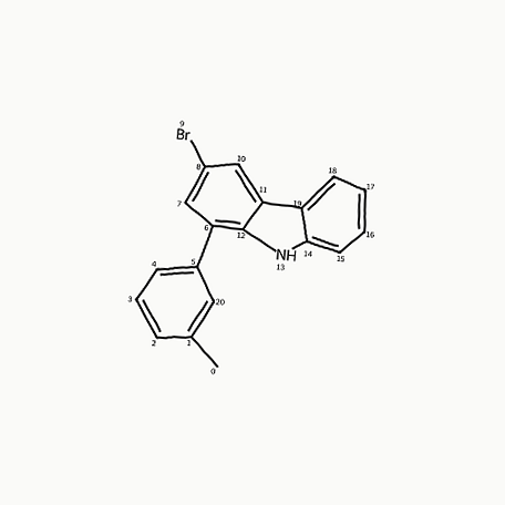 Cc1cccc(-c2cc(Br)cc3c2[nH]c2ccccc23)c1